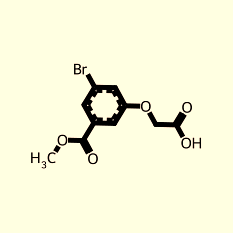 COC(=O)c1cc(Br)cc(OCC(=O)O)c1